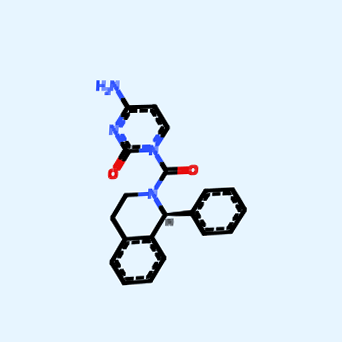 Nc1ccn(C(=O)N2CCc3ccccc3[C@@H]2c2ccccc2)c(=O)n1